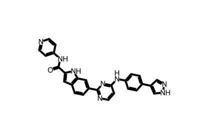 O=C(Nc1ccncc1)c1cc2ccc(-c3nccc(Nc4ccc(-c5cn[nH]c5)cc4)n3)cc2[nH]1